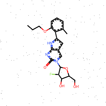 CCCOc1cccc(C)c1-c1cc2cn(C3OC(CO)C(O)C3F)c(=O)nc2[nH]1